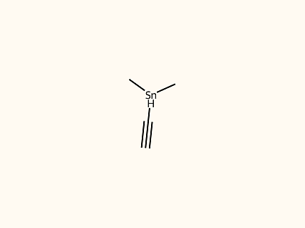 C#[C][SnH]([CH3])[CH3]